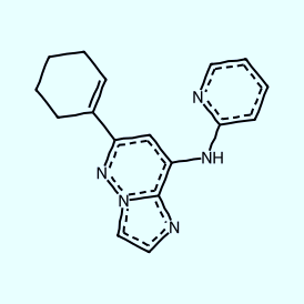 C1=C(c2cc(Nc3ccccn3)c3nccn3n2)CCCC1